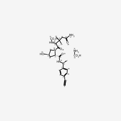 C#Cc1ccc([C@H](C)NC(=O)[C@@H]2C[C@@H](O)CN2C(=O)C(NC(=O)O)C(C)(C)CC(N)=O)cc1.NC(=O)O